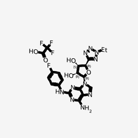 CCn1nnc([C@H]2O[C@@H](n3cnc4c(N)nc(Nc5ccc(F)cc5)nc43)[C@H](O)[C@@H]2O)n1.O=C(O)C(F)(F)F